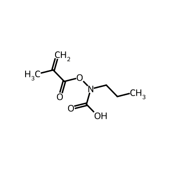 C=C(C)C(=O)ON(CCC)C(=O)O